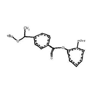 CCCCCCCCc1ccccc1OC(=O)c1ccc(C(C)OCCCC)cc1